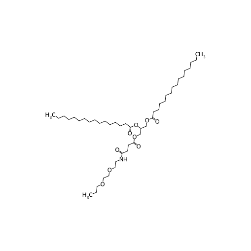 CCCCCCCCCCCCCCCC(=O)OCC(COC(=O)CCC(=O)NCCOCCOCCC)OC(=O)CCCCCCCCCCCCCCC